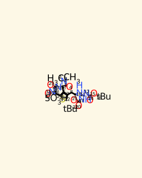 CN(C)C(=O)[C@@H]1c2c(CCN/C(=N/C(=O)OC(C)(C)C)NC(=O)OC(C)(C)C)csc2C2CN1C(=O)N2OS(=O)(=O)O